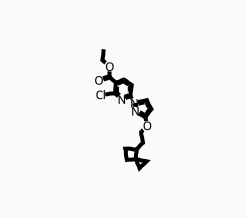 CCOC(=O)c1ccc(-n2ccc(OCCC3CCC34CC4)n2)nc1Cl